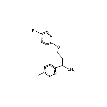 CCc1ccc(OCCC(C)c2ccc(F)cn2)cc1